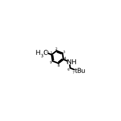 Cc1ccc(NCC(C)(C)C)cc1